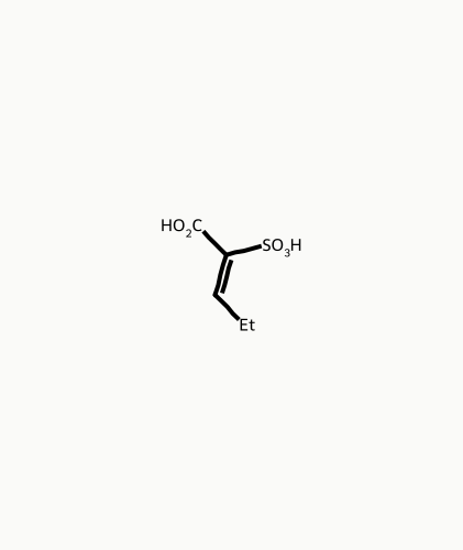 CC/C=C(/C(=O)O)S(=O)(=O)O